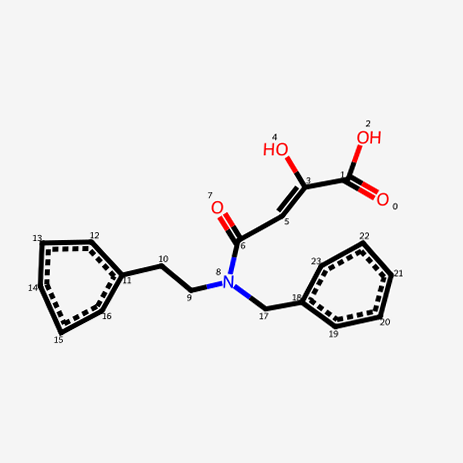 O=C(O)/C(O)=C/C(=O)N(CCc1ccccc1)Cc1ccccc1